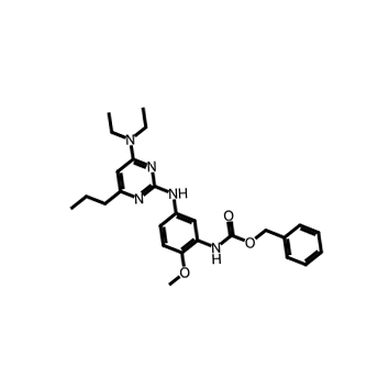 CCCc1cc(N(CC)CC)nc(Nc2ccc(OC)c(NC(=O)OCc3ccccc3)c2)n1